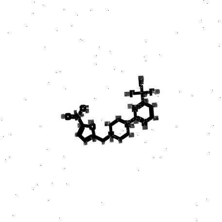 O=[N+]([O-])c1ccc(CN2CCN(c3nccc(C(F)(F)F)n3)CC2)o1